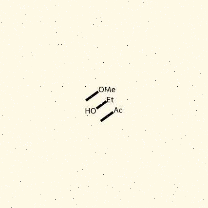 CC(C)=O.CCO.COC